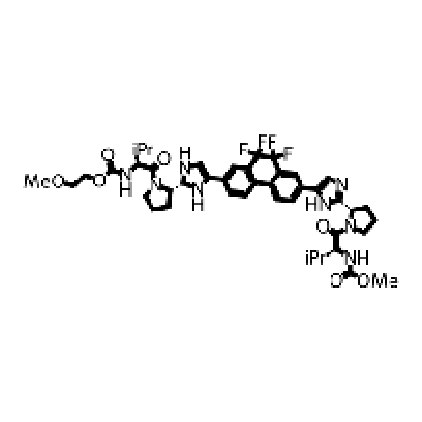 COCCOC(=O)N[C@H](C(=O)N1CCC[C@H]1C1NC=C(c2ccc3c(c2)C(F)(F)C(F)(F)c2cc(-c4cnc([C@@H]5CCCN5C(=O)[C@@H](NC(=O)OC)C(C)C)[nH]4)ccc2-3)N1)C(C)C